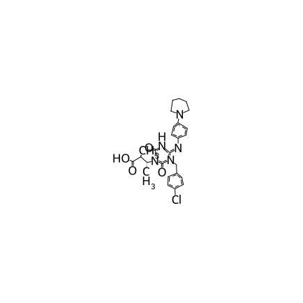 C[C@H](C(=O)O)[C@@H](C)n1c(=O)[nH]/c(=N\c2ccc(N3CCCCC3)cc2)n(Cc2ccc(Cl)cc2)c1=O